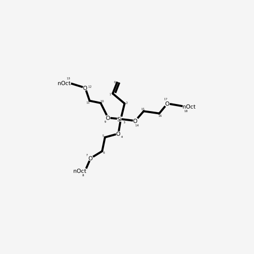 C=CC[Si](OCCOCCCCCCCC)(OCCOCCCCCCCC)OCCOCCCCCCCC